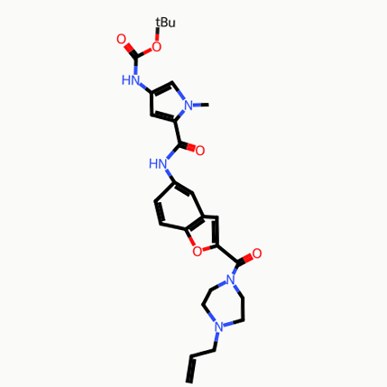 C=CCN1CCN(C(=O)c2cc3cc(NC(=O)c4cc(NC(=O)OC(C)(C)C)cn4C)ccc3o2)CC1